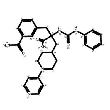 NC(=O)c1cccc(CC(CC2CCN(c3ccncc3)CC2)(NC(=O)Nc2ccccc2)C(N)=O)c1